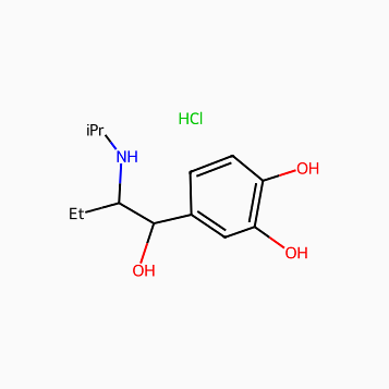 CCC(NC(C)C)C(O)c1ccc(O)c(O)c1.Cl